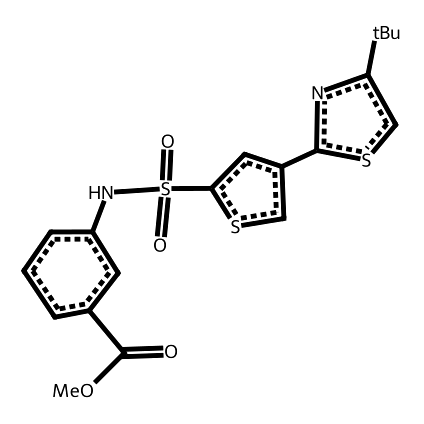 COC(=O)c1cccc(NS(=O)(=O)c2cc(-c3nc(C(C)(C)C)cs3)cs2)c1